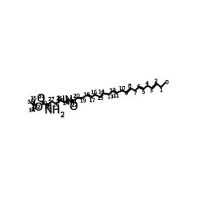 CCC=CCC=CCC=CCC=CCC=CCC=CCCC(=O)NCCCC[C@H](N)C(=O)OC(C)(C)C